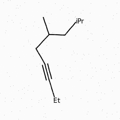 [CH2]CC#CCC(C)CC(C)C